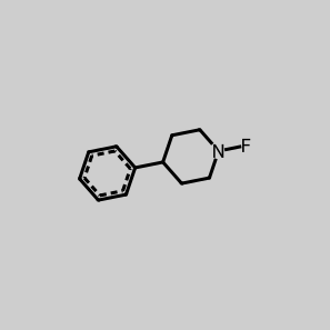 FN1CCC(c2ccccc2)CC1